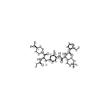 CCC(=O)N[C@@H](C(=O)N1CCC(=C(F)F)CC1)[C@@H](C)c1ccc(NC(=O)[C@@H](NC(=O)c2ccnn2CC)C2CCC(C)(F)CC2)c(F)c1